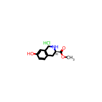 COC(=O)[C@H]1Cc2ccc(O)cc2CN1.Cl